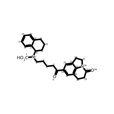 O=C(CCCCN(C(=O)O)C1CCCc2ccccc21)c1cc2c3c(c1)CCN3C(=O)CC2